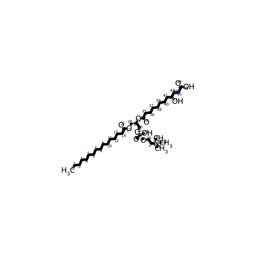 CCCCCCCCCCCCCCCC(=O)OC[C@H](COP(=O)(O)OCC[N+](C)(C)C)OC(=O)CCCCCCCC(O)/C=C/C(=O)O